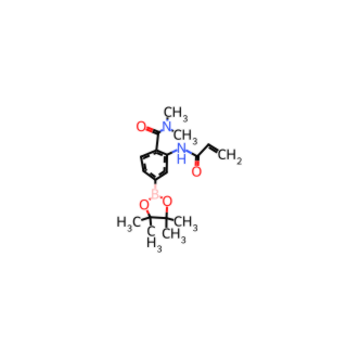 C=CC(=O)Nc1cc(B2OC(C)(C)C(C)(C)O2)ccc1C(=O)N(C)C